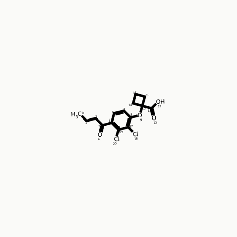 CCCC(=O)c1ccc(OC2(C(=O)O)CCC2)c(Cl)c1Cl